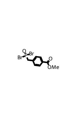 COC(=O)c1ccc(CP(=O)(Br)Br)cc1